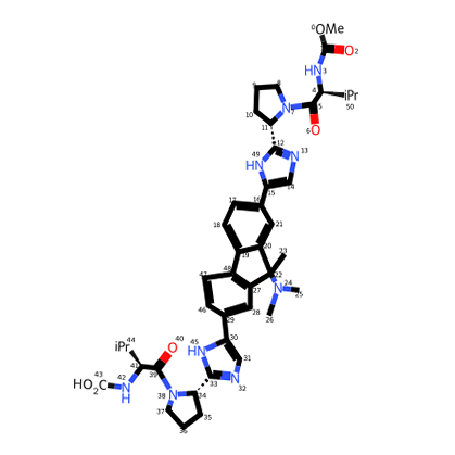 COC(=O)N[C@H](C(=O)N1CCC[C@H]1c1ncc(-c2ccc3c(c2)C(C)(N(C)C)c2cc(-c4cnc([C@@H]5CCCN5C(=O)[C@@H](NC(=O)O)C(C)C)[nH]4)ccc2-3)[nH]1)C(C)C